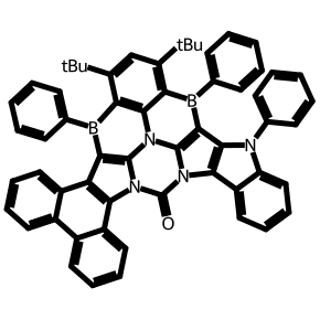 CC(C)(C)c1cc(C(C)(C)C)c2c3c1B(c1ccccc1)c1c4c5ccccc5c5ccccc5c4n4c(=O)n5c6c7ccccc7n(-c7ccccc7)c6c(c5n-3c14)B2c1ccccc1